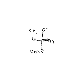 O=P([O-])([O-])[O-].[CaH2].[Gd+3]